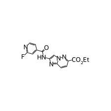 CCOC(=O)c1ccc2nc(NC(=O)c3ccnc(F)c3)cn2n1